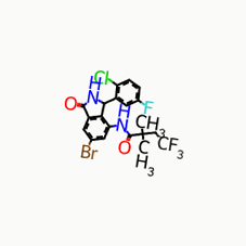 CC(C)(CC(F)(F)F)C(=O)Nc1cc(Br)cc2c1C(c1cc(F)ccc1Cl)NC2=O